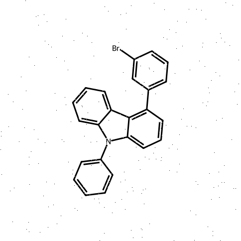 Brc1cccc(-c2cccc3c2c2ccccc2n3-c2ccccc2)c1